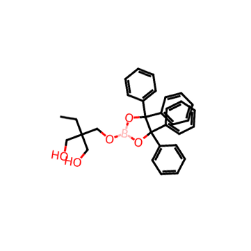 CCC(CO)(CO)COB1OC(c2ccccc2)(c2ccccc2)C(c2ccccc2)(c2ccccc2)O1